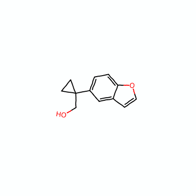 OCC1(c2ccc3occc3c2)CC1